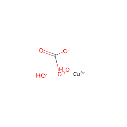 O.O=C([O-])[O-].[Cu+3].[OH-]